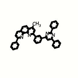 Cc1cc(-c2cccc(-c3cc(-c4ccccc4)nc(-c4ccccc4)n3)c2)nc2c1ccc1ccc(-c3ccccc3)nc12